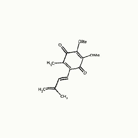 C=C(C)C=CC1=C(C)C(=O)C(OC)=C(OC)C1=O